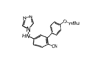 CCCCOc1ccc(-c2cc(Nn3cnnc3)ccc2C#N)cc1